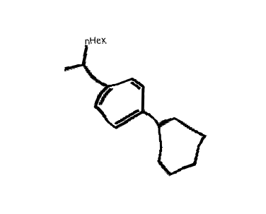 CCCCCCC(C)c1ccc(C2CCCCC2)cc1